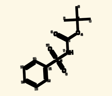 CC(C)(C)OC(=O)NS(=O)(=O)c1ccccc1